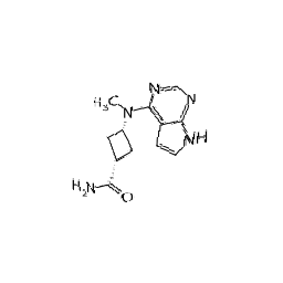 CN(c1ncnc2[nH]ccc12)[C@H]1C[C@@H](C(N)=O)C1